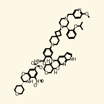 COc1ccc(CN2CCN(C3CC4(CCN(c5ccc(C(=O)NS(=O)(=O)c6cc7c(c([N+](=O)[O-])c6)N[C@H](C6CCOCC6)CO7)c(N6c7cc8cc[nH]c8nc7O[C@H]7COCC[C@@H]76)c5)CC4)C3)[C@H](c3ccccc3OC(C)C)C2)cn1